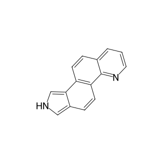 c1cnc2c(c1)ccc1c3c[nH]cc3ccc12